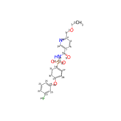 CCOCc1ccc(C(=O)NS(=O)(=O)c2ccc(Oc3cccc(F)c3)cc2)cn1